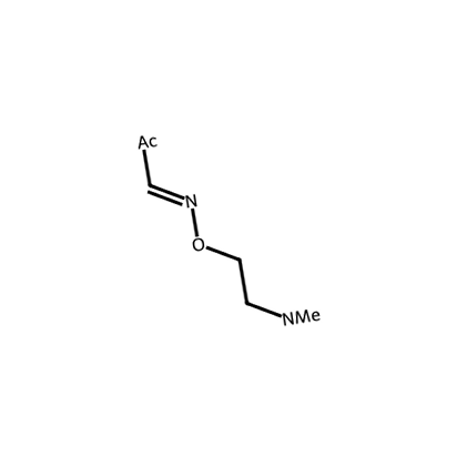 CNCCON=CC(C)=O